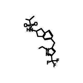 CCn1nc(C(F)(F)F)cc1Cc1ccc2c(c1)CC(NS(=O)(=O)C(C)C)C2